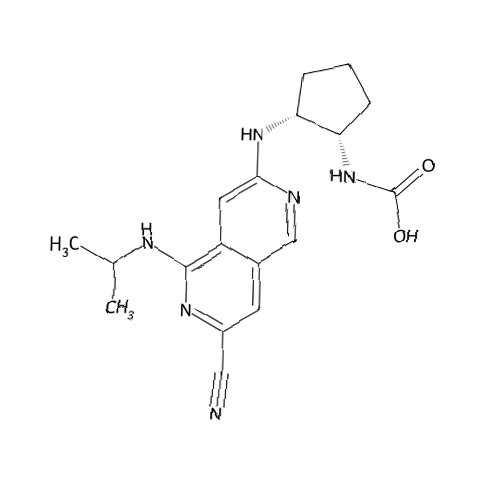 CC(C)Nc1nc(C#N)cc2cnc(N[C@@H]3CCC[C@@H]3NC(=O)O)cc12